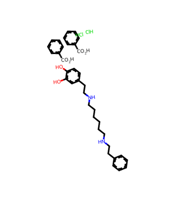 Cl.Cl.O=C(O)c1ccccc1.O=C(O)c1ccccc1.Oc1ccc(CCNCCCCCCNCCc2ccccc2)cc1O